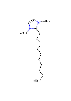 CCCCCCCCCCCCCCCCCCCC1N(CCCCCC)C=CN1CCCCCCCC